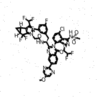 COc1cnc(-c2ccc3c(=O)n(-c4ccc(Cl)c5c(NS(C)(=O)=O)nn(CC(F)F)c45)c([C@H](Cc4cc(F)cc(F)c4)NC(=O)Cn4nc(C(F)F)c5c4C(F)(F)[C@@H]4C[C@H]54)nc3c2)nc1